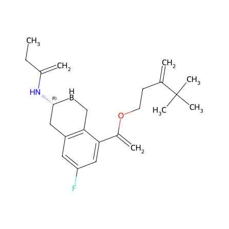 C=C(CC)N[C@@H]1BCc2c(cc(F)cc2C(=C)OCCC(=C)C(C)(C)C)C1